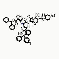 CC[n+]1ccc(SCC2=C(C(=O)O)N3C(=O)[C@@H](NC(=O)/C(=N\O[C@@H](C)C(=O)OC(c4ccccc4)c4ccccc4)c4csc(NC(c5ccccc5)(c5ccccc5)c5ccccc5)n4)[C@H]3SC2)cc1.[Cl-]